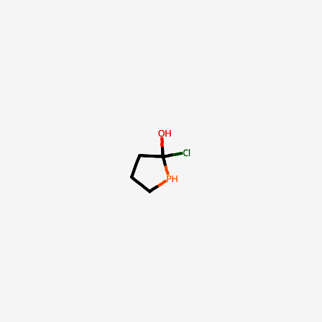 OC1(Cl)CCCP1